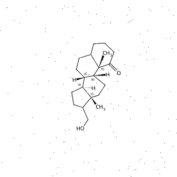 C[C@]12C(=O)CCCC1CC[C@@H]1[C@H]2CC[C@]2(C)C(CO)CC[C@@H]12